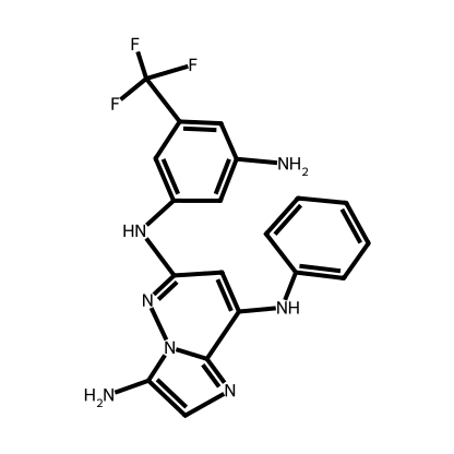 Nc1cc(Nc2cc(Nc3ccccc3)c3ncc(N)n3n2)cc(C(F)(F)F)c1